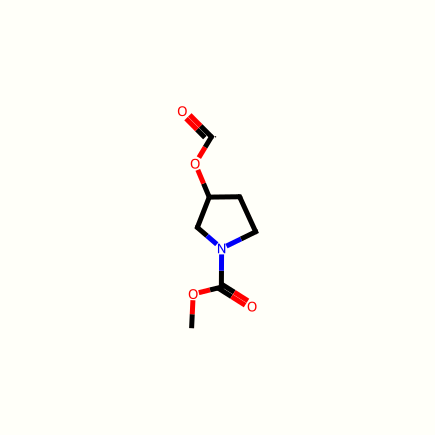 COC(=O)N1CCC(O[C]=O)C1